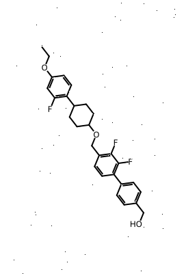 CCOc1ccc(C2CCC(OCc3ccc(-c4ccc(CO)cc4)c(F)c3F)CC2)c(F)c1